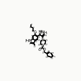 CCCCOc1cc2[nH]cc(C)c2cc1-c1n[nH]cc1N1CCN(C(=O)OCc2ccccc2)CC1